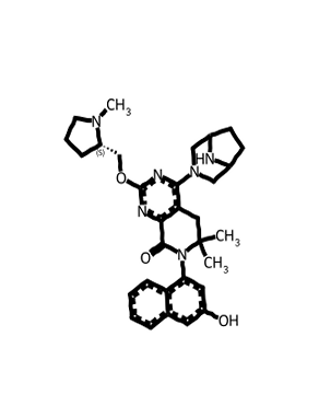 CN1CCC[C@H]1COc1nc2c(c(N3CC4CCC(C3)N4)n1)CC(C)(C)N(c1cc(O)cc3ccccc13)C2=O